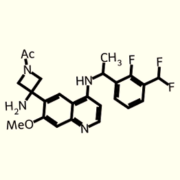 COc1cc2nccc(NC(C)c3cccc(C(F)F)c3F)c2cc1C1(N)CN(C(C)=O)C1